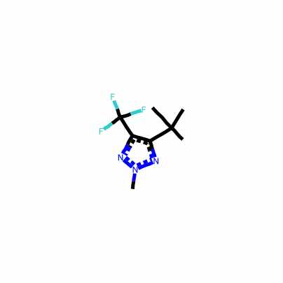 Cn1nc(C(C)(C)C)c(C(F)(F)F)n1